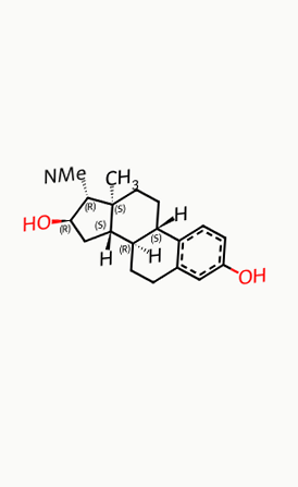 CN[C@H]1[C@H](O)C[C@H]2[C@@H]3CCc4cc(O)ccc4[C@H]3CC[C@@]21C